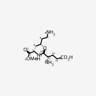 COC(=O)[C@H](CCCCN)NC(=O)[C@@H](N)CCC(=O)O